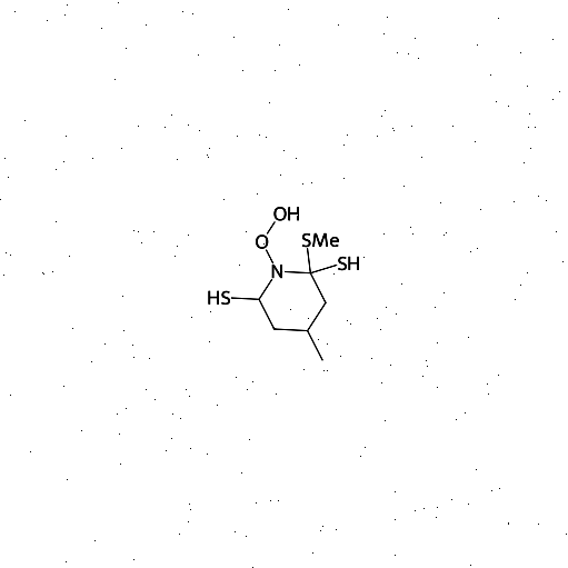 CSC1(S)CC(C)CC(S)N1OO